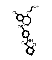 O=C(Nc1ccc(C(=O)N2CCCC(OCCO)c3cc(Cl)ccc32)cc1)c1ccccc1Cl